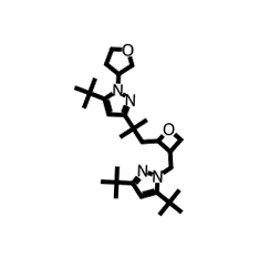 CC(C)(C)c1cc(C(C)(C)C)n(CC2COC2CC(C)(C)c2cc(C(C)(C)C)n(C3CCOC3)n2)n1